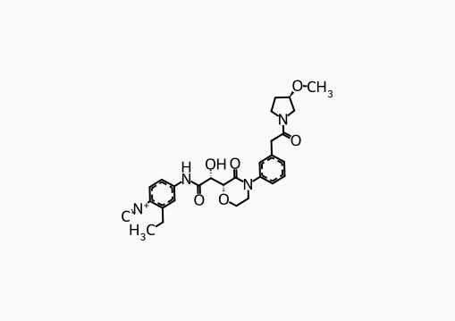 [C-]#[N+]c1ccc(NC(=O)[C@H](O)[C@H]2OCCN(c3cccc(CC(=O)N4CC[C@@H](OC)C4)c3)C2=O)cc1CC